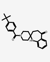 CC(C)(C)c1ccc(C(=O)N2CCC3(CCC(=O)c4ccccc4N3)CC2)cc1